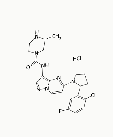 CC1CN(C(=O)Nc2cnn3ccc(N4CCCC4c4cc(F)ccc4Cl)nc23)CCN1.Cl